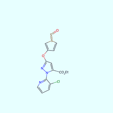 CCOC(=O)c1cc(OC2=CS(=S=O)C=C2)nn1-c1ncccc1Cl